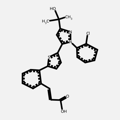 CC(C)(O)c1cc(-c2ccc(-c3ccccc3C=CC(=O)O)s2)n(-c2ccccc2Cl)n1